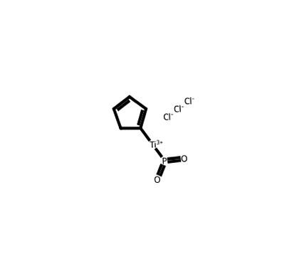 O=[P](=O)[Ti+3][C]1=CC=CC1.[Cl-].[Cl-].[Cl-]